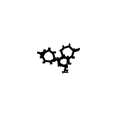 C=C1CCCc2c(nc(CC)nc2N2CCC3=CC3CC2)C1